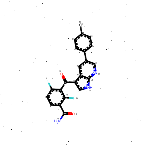 NC(=O)c1ccc(F)c(C(=O)c2c[nH]c3ncc(-c4ccc(C(F)(F)F)cc4)cc23)c1F